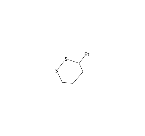 CCC1CCCSS1